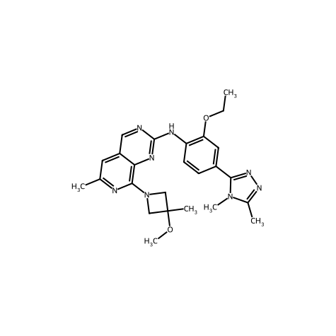 CCOc1cc(-c2nnc(C)n2C)ccc1Nc1ncc2cc(C)nc(N3CC(C)(OC)C3)c2n1